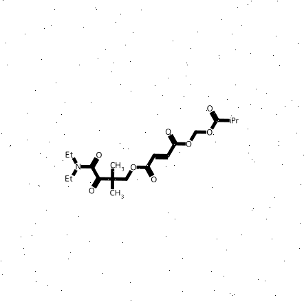 CCN(CC)C(=O)C(=O)C(C)(C)COC(=O)/C=C/C(=O)OCOC(=O)C(C)C